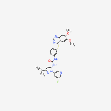 COc1cc2ncnc(Sc3cccc(NC(=O)Nc4cc(C(C)C)nn4-c4cncc(F)c4)c3)c2cc1OC